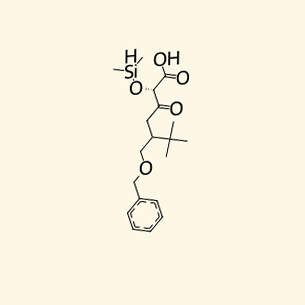 C[SiH](C)O[C@H](C(=O)O)C(=O)CC(COCc1ccccc1)C(C)(C)C